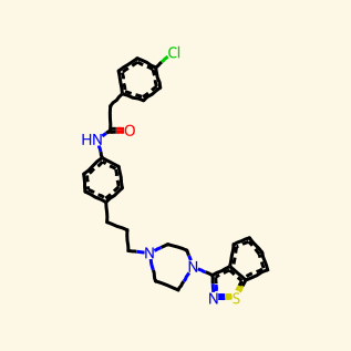 O=C(Cc1ccc(Cl)cc1)Nc1ccc(CCCN2CCN(c3nsc4ccccc34)CC2)cc1